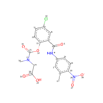 Cc1cc(NC(=O)c2cc(Cl)ccc2OC(=O)N(C)CC(=O)O)ccc1[N+](=O)[O-]